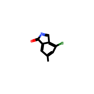 Cc1cc(Cl)c2c(c1)C(=O)N=C2